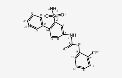 NS(=O)(=O)c1cc(NC(=O)Cc2ccccc2Cl)ccc1-c1cccnc1